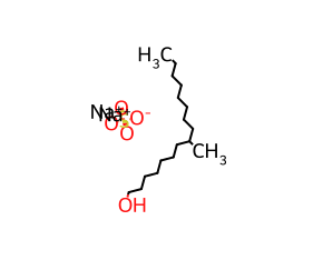 CCCCCCCCC(C)CCCCCCCO.O=S(=O)([O-])[O-].[Na+].[Na+]